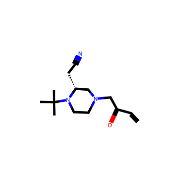 C=CC(=O)CN1CCN(C(C)(C)C)[C@H](CC#N)C1